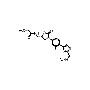 CC(=O)NCc1nnc(-c2ccc(N3C[C@H](CNC(=O)COC(C)=O)OC3=O)cc2F)s1